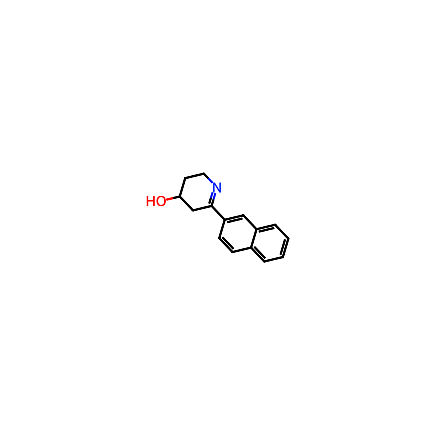 OC1CCN=C(c2ccc3ccccc3c2)C1